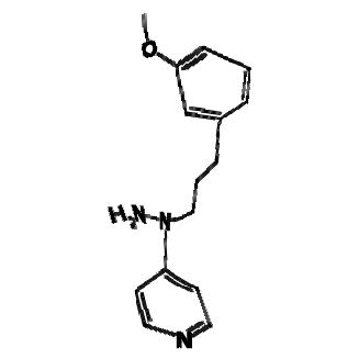 COc1cccc(CCCN(N)c2ccncc2)c1